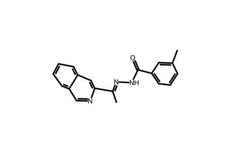 CC(=NNC(=O)c1cccc(C)c1)c1cc2ccccc2cn1